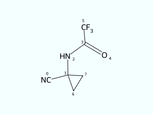 N#CC1(NC(=O)C(F)(F)F)CC1